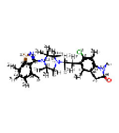 [2H]c1c(Cl)c(C([2H])([2H])C([2H])(C)N2C([2H])(C)C([2H])([2H])N(c3nsc4c([2H])c([2H])c([2H])c(C)c34)C([2H])([2H])C2([2H])C)c([2H])c2c1N(C)C(=O)C2